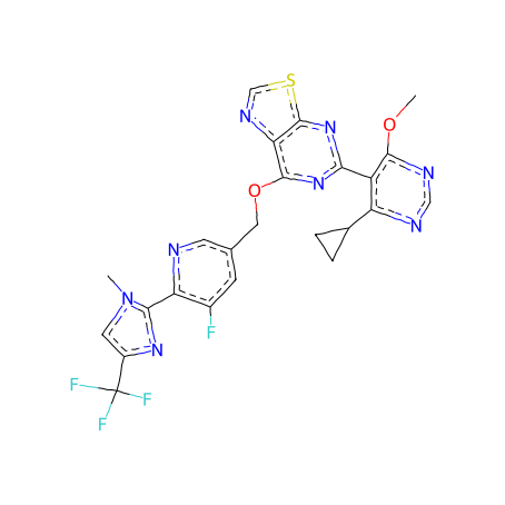 COc1ncnc(C2CC2)c1-c1nc(OCc2cnc(-c3nc(C(F)(F)F)cn3C)c(F)c2)c2ncsc2n1